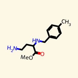 COC(=O)C(CCN)NCc1ccc(C)cc1